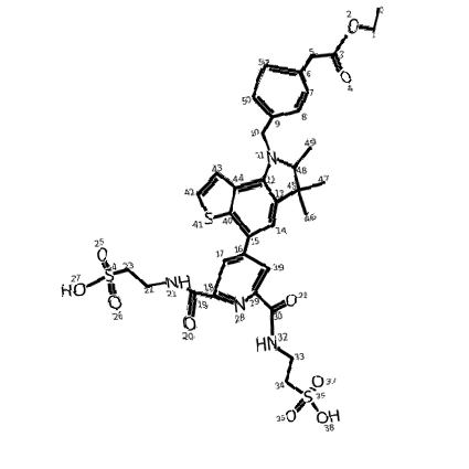 CCOC(=O)Cc1ccc(CN2c3c(cc(-c4cc(C(=O)NCCS(=O)(=O)O)nc(C(=O)NCCS(=O)(=O)O)c4)c4sccc34)C(C)(C)C2C)cc1